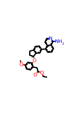 CCOC(=O)Cc1ccc(OC)cc1O[C@@H]1CCc2ccc(-c3cccc4c(N)nccc34)cc21